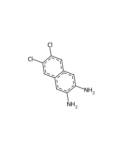 Nc1cc2cc(Cl)c(Cl)cc2cc1N